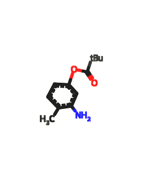 Cc1ccc(OC(=O)C(C)(C)C)cc1N